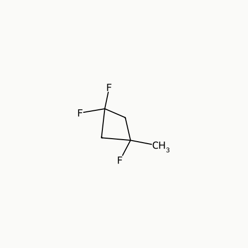 CC1(F)CC(F)(F)C1